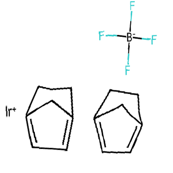 C1=C2CCC(=C1)C2.C1=C2CCC(=C1)C2.F[B-](F)(F)F.[Ir+]